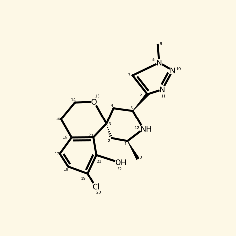 C[C@H]1C[C@@]2(C[C@@H](c3cn(C)nn3)N1)OCCc1ccc(Cl)c(O)c12